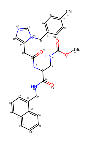 CC(C)(C)OC(=O)NCC(NC(=O)Cc1cncn1Cc1ccc(C#N)cc1)C(=O)NCc1cccc2ccccc12